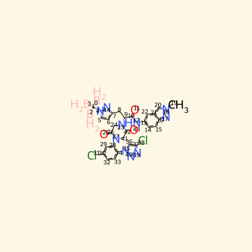 BC(B)(B)n1ccc(CC(C(=O)Nc2ccc3nn(C)cc3c2)N2CC(=O)N(c3cc(Cl)ccc3-n3cc(Cl)nn3)CC2=O)n1